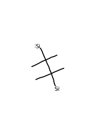 CC(C)([Si])C(C)(C)[Si]